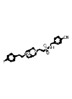 N#Cc1ccc(CNS(=O)(=O)CCN2CC3CN(CCc4ccc(F)cc4)CC(C2)O3)cc1